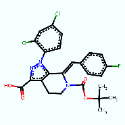 CC(C)(C)OC(=O)N1CCc2c(C(=O)O)nn(-c3ccc(Cl)cc3Cl)c2C1=Cc1ccc(F)cc1